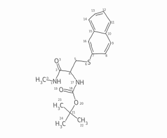 CNC(=O)C(CSc1ccc2ccccc2c1)NC(=O)OC(C)(C)C